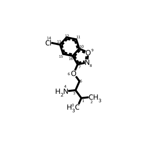 CC(C)C(N)COc1noc2ccc(Cl)cc12